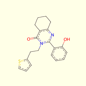 O=c1c2c(nc(-c3ccccc3O)n1CCc1cccs1)CCCC2